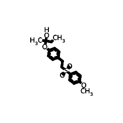 CCC(C)(O)Oc1ccc(CCS(=O)(=O)c2ccc(OC)cc2)cc1